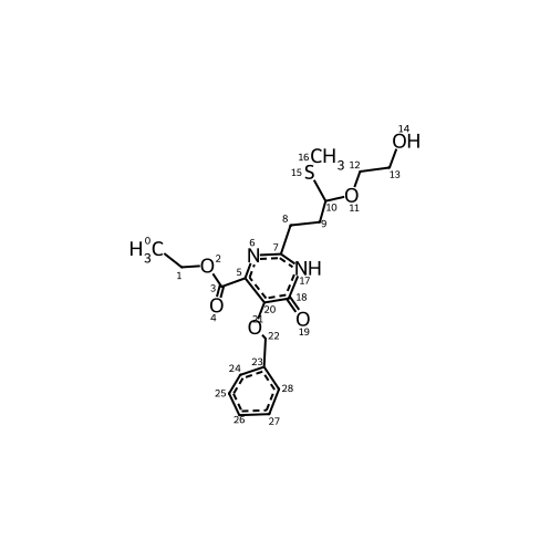 CCOC(=O)c1nc(CCC(OCCO)SC)[nH]c(=O)c1OCc1ccccc1